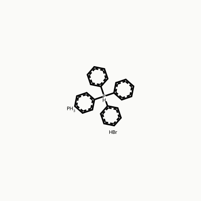 Br.P.c1ccc([PH](c2ccccc2)(c2ccccc2)c2ccccc2)cc1